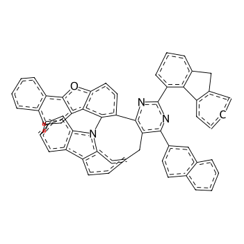 c1ccc2c(c1)Cc1cccc(-c3nc(-c4ccc5ccccc5c4)c4c(n3)-c3ccc5oc6c7ccccc7ccc6c5c3-n3c5cc(ccc5c5cc6ccccc6cc53)C4)c1-2